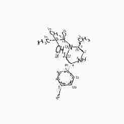 C[C@H]1CN[C@H](c2ccc(F)cc2)CN1C(=O)C(C)(C)C